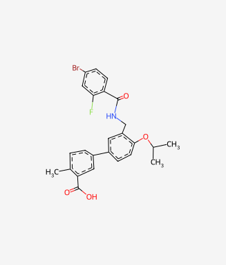 Cc1ccc(-c2ccc(OC(C)C)c(CNC(=O)c3ccc(Br)cc3F)c2)cc1C(=O)O